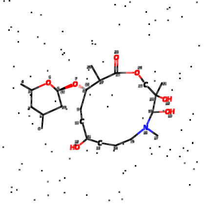 CC1CC(C)O[C@@H](O[C@H]2CCC(O)CCCN(C)C(O)C(C)(O)COC(=O)C2C)C1